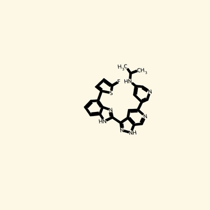 CC(C)Nc1cncc(-c2cc3c(-c4nc5c(-c6ccc(F)s6)cccc5[nH]4)n[nH]c3cn2)c1